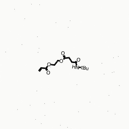 C=CC(=O)OCCOC(=O)CCC(=O)NC(C)(C)C